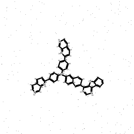 c1ccc2c(c1)sc1c(-c3ccc4cc(N(c5ccc(-c6ccc7ccncc7n6)cc5)c5ccc(-c6ccc7ccncc7n6)cc5)ccc4c3)ncnc12